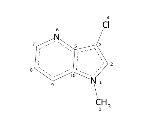 Cn1cc(Cl)c2ncccc21